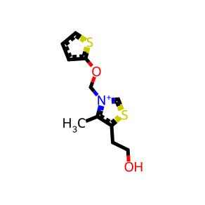 Cc1c(CCO)sc[n+]1COc1cccs1